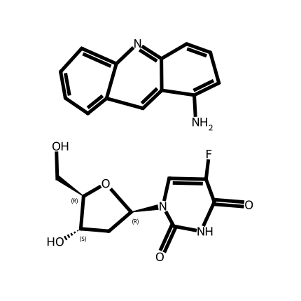 Nc1cccc2nc3ccccc3cc12.O=c1[nH]c(=O)n([C@H]2C[C@H](O)[C@@H](CO)O2)cc1F